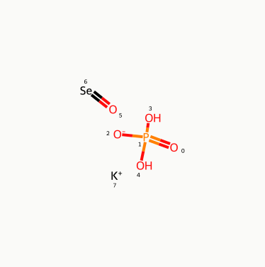 O=P([O-])(O)O.O=[Se].[K+]